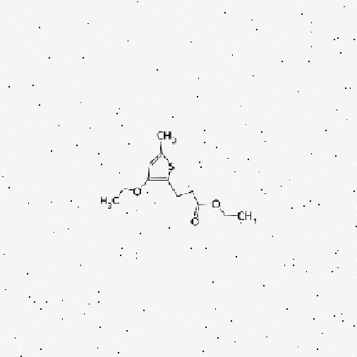 CCOC(=O)CCc1sc(C)cc1OCC